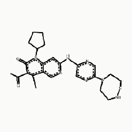 CC(=O)c1c(C)c2cnc(Nc3cnc(N4CCCNCC4)cn3)cc2n(C2CCCC2)c1=O